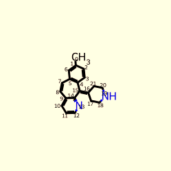 Cc1ccc2c(c1)C=Cc1cccnc1C2=C1CCNCC1